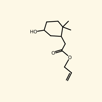 C=CCOC(=O)CC1CC(O)CCC1(C)C